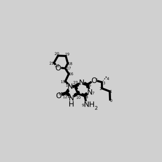 CCC[C@@H](C)Oc1nc(N)c2[nH]c(=O)n(CCC3CCCCO3)c2n1